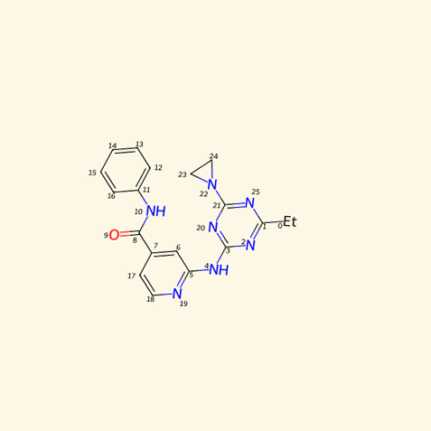 CCc1nc(Nc2cc(C(=O)Nc3ccccc3)ccn2)nc(N2CC2)n1